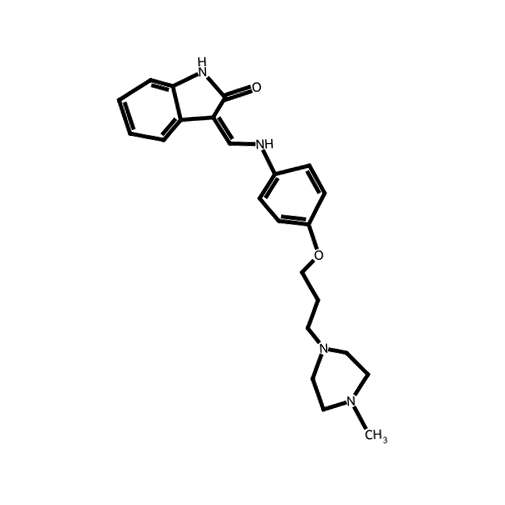 CN1CCN(CCCOc2ccc(NC=C3C(=O)Nc4ccccc43)cc2)CC1